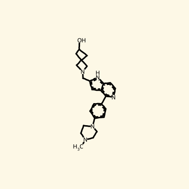 CN1CCN(c2ccc(-c3nccc4[nH]c(CN5CC6(CC(O)C6)C5)cc34)cc2)CC1